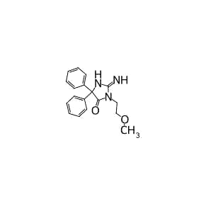 COCCN1C(=N)NC(c2ccccc2)(c2ccccc2)C1=O